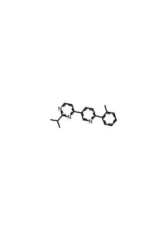 Cc1ccccc1-c1ccc(-c2ccnc(C(C)C)n2)cn1